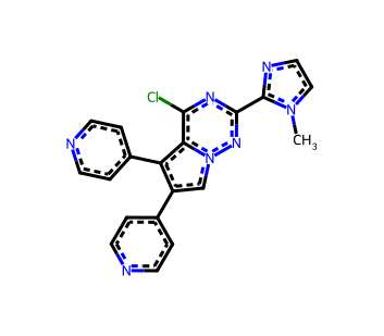 Cn1ccnc1-c1nc(Cl)c2c(-c3ccncc3)c(-c3ccncc3)cn2n1